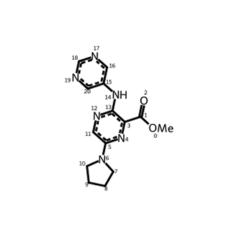 COC(=O)c1nc(N2CCCC2)cnc1Nc1cncnc1